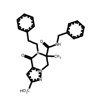 CC1(C(=O)NCc2ccccc2)Cn2nc(C(=O)O)cc2C(=O)N1CCc1ccccc1